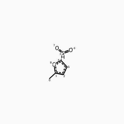 Cc1ccc([SH](=O)=O)o1